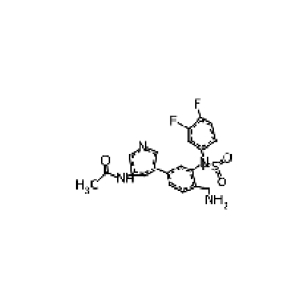 CC(=O)Nc1cncc(-c2ccc(CN)c(N(c3ccc(F)c(F)c3)[SH](=O)=O)c2)c1